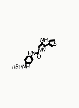 CCCCNc1ccc(NC(=O)n2cc(N)c(-c3ccsc3)n2)cc1